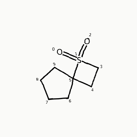 O=S1(=O)CCC12CCCC2